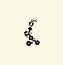 Nc1nccn2c(C3CC(N4CCN(C=O)CC4)C3)nc(-c3ccc4c(c3)nc(-c3ccccc3)n4Cc3ccccc3)c12